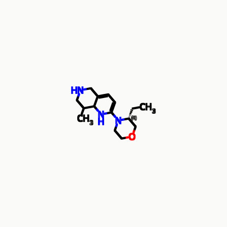 CC[C@@H]1COCCN1C1=CC=C2CNCC(C)C2N1